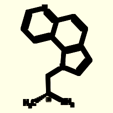 C[C@@H](N)Cn1ccc2ccc3ncccc3c21